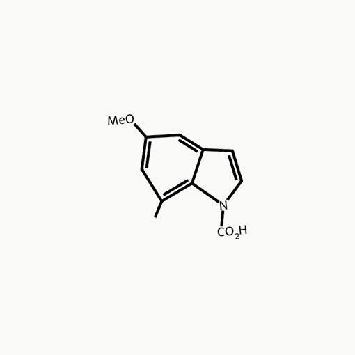 COc1cc(C)c2c(ccn2C(=O)O)c1